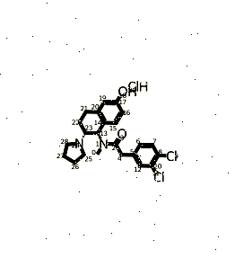 CN(C(=O)Cc1ccc(Cl)c(Cl)c1)[C@@H]1c2ccc(O)cc2CC[C@H]1N1CCCC1.Cl